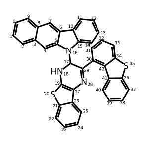 c1ccc2cc3c(cc2c1)c1ccccc1n3C1Nc2sc3ccccc3c2N=C1c1cccc2sc3ccccc3c12